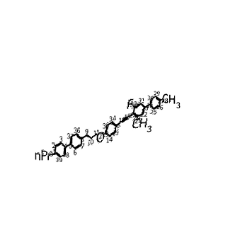 CCCc1ccc(-c2ccc(CCCOc3ccc(C#Cc4c(C)cc(-c5ccc(C)cc5)cc4F)cc3)cc2)cc1